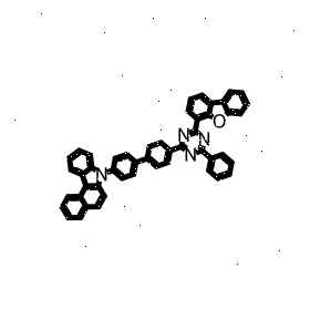 C1=C(c2ccc(-n3c4ccccc4c4c5ccccc5ccc43)cc2)CCC(c2nc(-c3ccccc3)nc(-c3cccc4c3oc3ccccc34)n2)=C1